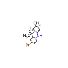 Cc1ccc2c(c1)C(C)(C)c1cc(Br)ccc1N2